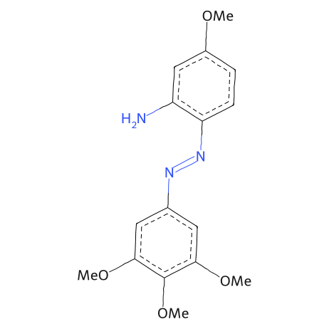 COc1ccc(N=Nc2cc(OC)c(OC)c(OC)c2)c(N)c1